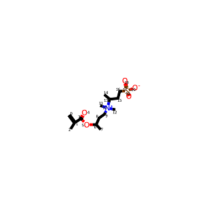 C=C(C)C(=O)OC(C)CC[N+](C)(C)C(C)CCS(=O)(=O)[O-]